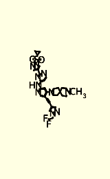 CN1CCC2(CC1)CCN(c1cc(Nc3ccnc(-c4cnn(S(=O)(=O)C5CC5)c4)n3)ncc1C#Cc1cnn(CC(F)F)c1)CC2